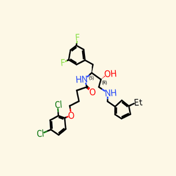 CCc1cccc(CNC[C@@H](O)[C@H](Cc2cc(F)cc(F)c2)NC(=O)CCCOc2ccc(Cl)cc2Cl)c1